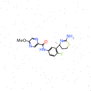 COc1cnc(C(=O)Nc2ccc(F)c([C@]3(C)CCSC(N)=N3)c2)cn1